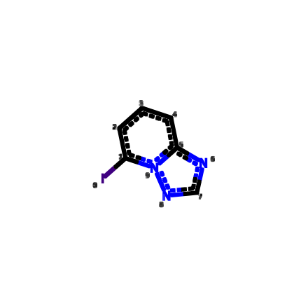 Ic1cccc2ncnn12